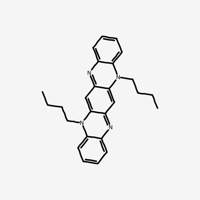 CCCCN1c2ccccc2N=c2cc3c(cc21)=Nc1ccccc1N3CCCC